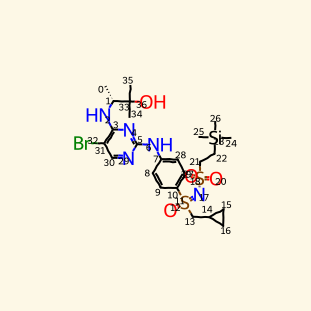 C[C@@H](Nc1nc(Nc2ccc(S(=O)(CC3CC3)=NS(=O)(=O)CC[Si](C)(C)C)cc2)ncc1Br)C(C)(C)O